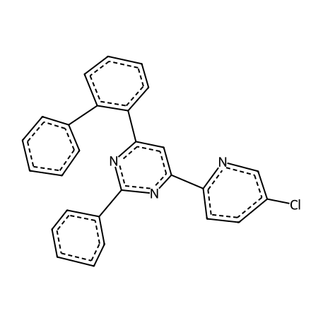 Clc1ccc(-c2cc(-c3ccccc3-c3ccccc3)nc(-c3ccccc3)n2)nc1